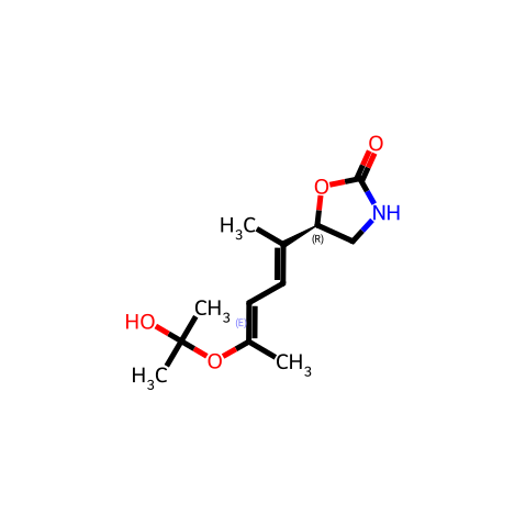 CC(=C/C=C(\C)OC(C)(C)O)[C@@H]1CNC(=O)O1